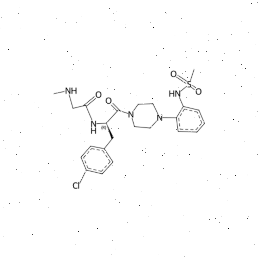 CNCC(=O)N[C@H](Cc1ccc(Cl)cc1)C(=O)N1CCN(c2ccccc2NS(C)(=O)=O)CC1